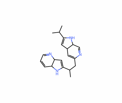 CC(C)C1=CC2C=C(CC(C)C3=CC4N=CC=CC4N3)N=CC2N1